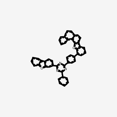 c1ccc(-c2nc(-c3ccc(-c4cccc5c4oc4c5ccc5ccc6ccccc6c54)cc3)nc(-c3ccc4c(c3)oc3ccccc34)n2)cc1